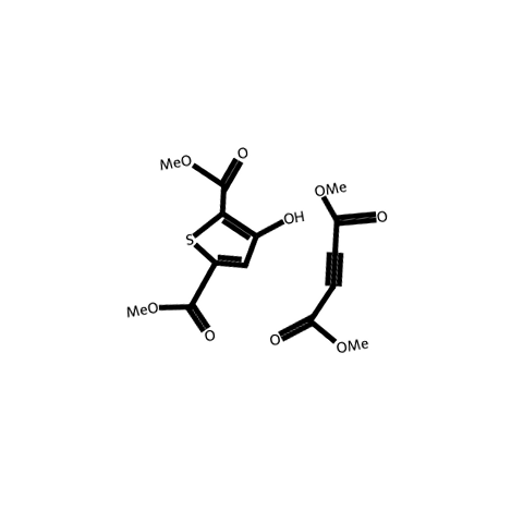 COC(=O)C#CC(=O)OC.COC(=O)c1cc(O)c(C(=O)OC)s1